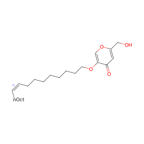 CCCCCCCC/C=C\CCCCCCCCOc1coc(CO)cc1=O